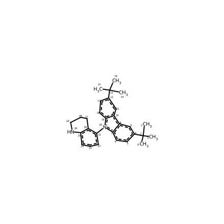 CC(C)(C)c1ccc2c(c1)c1cc(C(C)(C)C)ccc1n2-c1cccc2c1CCCN2